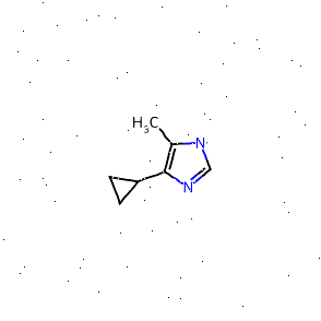 CC1=C(C2CC2)N=C[N]1